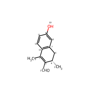 CC1=C(C=O)[C@@H](C)Cc2cc(O)ccc21